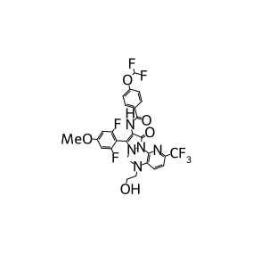 COc1cc(F)c(-c2c(NC(=O)c3ccc(OC(F)F)cc3)c(=O)n(-c3nc(C(F)(F)F)ccc3N(C)CCO)n2C)c(F)c1